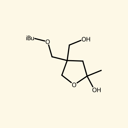 CCC(C)OCC1(CO)COC(C)(O)C1